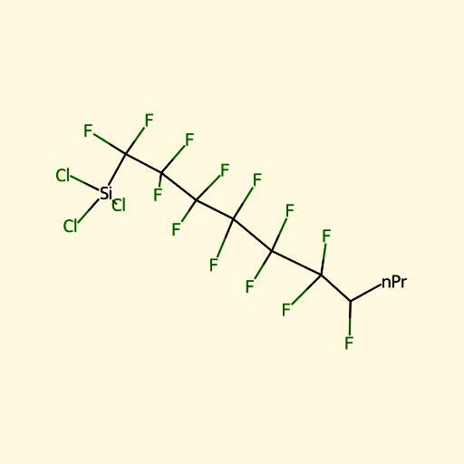 CCCC(F)C(F)(F)C(F)(F)C(F)(F)C(F)(F)C(F)(F)C(F)(F)[Si](Cl)(Cl)Cl